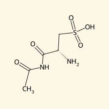 CC(=O)NC(=O)[C@@H](N)CS(=O)(=O)O